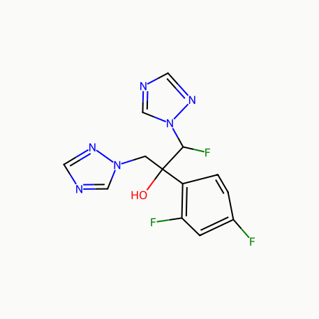 OC(Cn1cncn1)(c1ccc(F)cc1F)C(F)n1cncn1